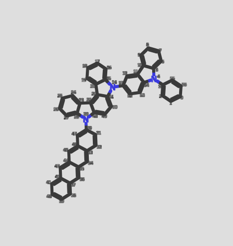 c1ccc(-n2c3ccccc3c3cc(-n4c5ccccc5c5c6c7ccccc7n(-c7ccc8cc9cc%10ccccc%10cc9cc8c7)c6ccc54)ccc32)cc1